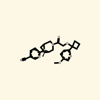 COc1ccc(C2(OCC(=O)N3CC4C[C@H](C)C(C3)N4c3ccc(C#N)cn3)CCC2)nc1